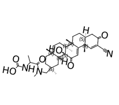 CC(NC(=O)O)C(=O)N(C)C[C@@]1(C)CC[C@]2(C)CC[C@@]3(C)[C@]4(C)CC[C@H]5CC(=O)C(C#N)=C[C@]5(C)C4=CC(=O)[C@]3(O)[C@@H]2C1